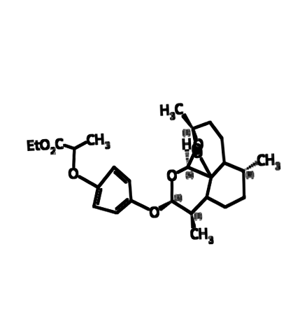 CCOC(=O)C(C)Oc1ccc(O[C@H]2O[C@H]3O[C@@]4(C)CCC5[C@H](C)CCC([C@H]2C)C53OO4)cc1